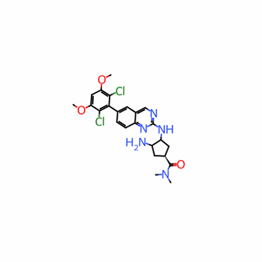 COc1cc(OC)c(Cl)c(-c2ccc3nc(NC4C[C@@H](C(=O)N(C)C)CC4N)ncc3c2)c1Cl